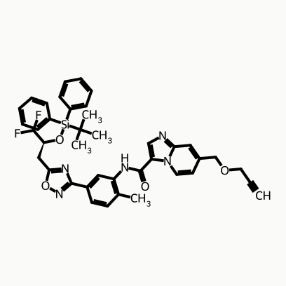 C#CCOCc1ccn2c(C(=O)Nc3cc(-c4noc(C[C@H](O[Si](c5ccccc5)(c5ccccc5)C(C)(C)C)C(F)F)n4)ccc3C)cnc2c1